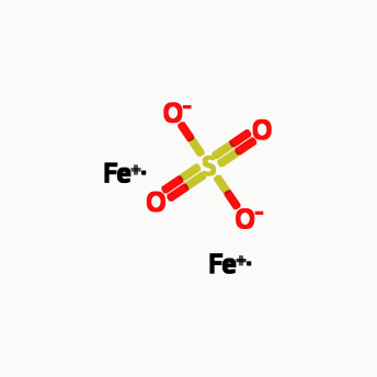 O=S(=O)([O-])[O-].[Fe+].[Fe+]